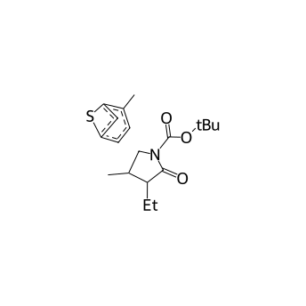 CCC1C(=O)N(C(=O)OC(C)(C)C)CC1C.Cc1ccc2cc1S2